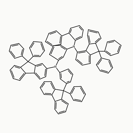 c1ccc(-c2ccccc2N(c2cccc(N(c3cccc(C4(c5ccccc5)c5ccccc5-c5ccccc54)c3)c3ccc4c(c3)C(c3ccccc3)(c3ccccc3)c3ccccc3-4)c2)c2cccc3c2-c2ccccc2C3(c2ccccc2)c2ccccc2)cc1